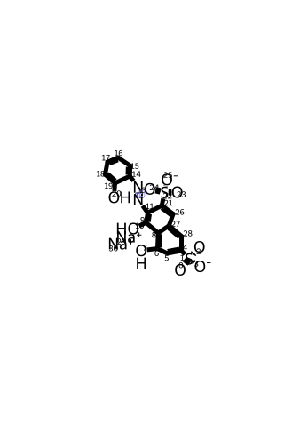 O=S(=O)([O-])c1cc(O)c2c(O)c(/N=N/c3ccccc3O)c(S(=O)(=O)[O-])cc2c1.[Na+].[Na+]